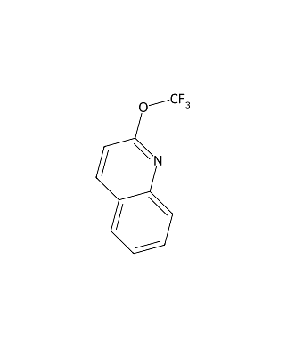 FC(F)(F)Oc1ccc2ccccc2n1